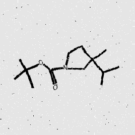 CC(C)C1(C)CCN(C(=O)OC(C)(C)C)C1